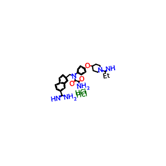 CCC(=N)N1CCC(Oc2ccc(N(Cc3ccc4ccc(C(=N)N)cc4c3)C(=O)C(N)=O)cc2)CC1.Cl.Cl